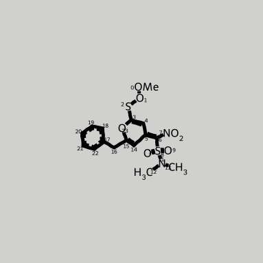 COOSC1=C/C(=C(\[N+](=O)[O-])S(=O)(=O)N(C)C)C=C(Cc2ccccc2)O1